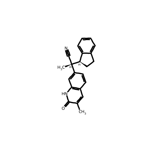 Cc1cc2ccc([C@](C)(C#N)[C@@H]3CCc4ccccc43)cc2[nH]c1=O